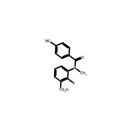 CN(C(=O)c1ccc(C#N)cc1)c1cccc(C(=O)O)c1F